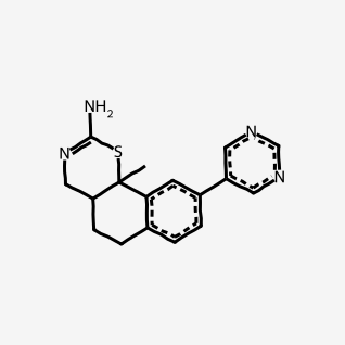 CC12SC(N)=NCC1CCc1ccc(-c3cncnc3)cc12